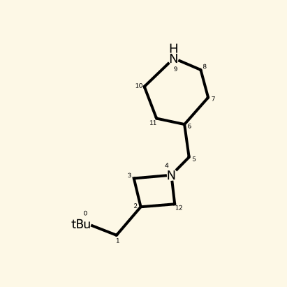 CC(C)(C)CC1CN(CC2CCNCC2)C1